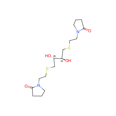 O=C1CCCN1CCSC[C@@H](O)[C@@H](O)CSCCN1CCCC1=O